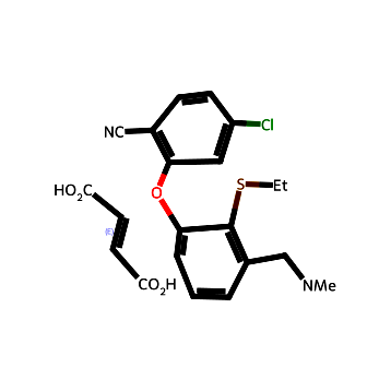 CCSc1c(CNC)cccc1Oc1cc(Cl)ccc1C#N.O=C(O)/C=C/C(=O)O